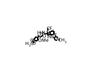 COc1cc(S(C)(=O)=O)ccc1NCc1nnc(-c2cc3c(N[C@H]4CCN(C)C[C@@H]4F)cccc3n2CC(F)(F)F)o1